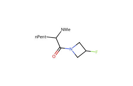 CCCCCC(NC)C(=O)N1CC(F)C1